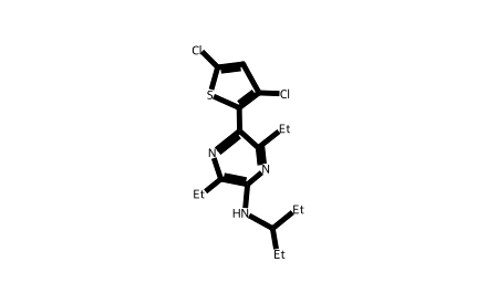 CCc1nc(-c2sc(Cl)cc2Cl)c(CC)nc1NC(CC)CC